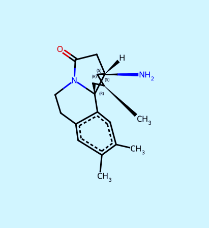 Cc1cc2c(cc1C)[C@@]13C[C@H](C)[C@@H](N)[C@@H]1CC(=O)N3CC2